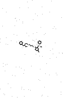 COc1ccc(OCCCCN2CCC(C(O)c3ccc(F)cc3)CC2)c(C2Sc3ccccc3N2C(C)=O)c1